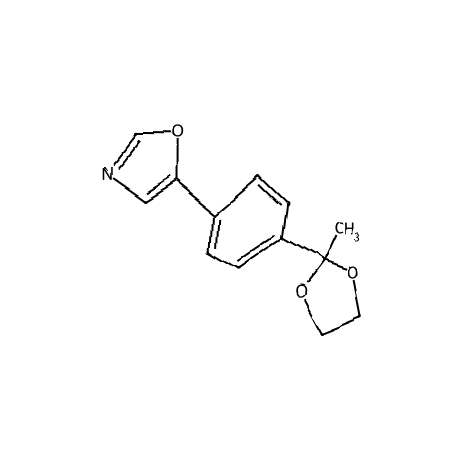 CC1(c2ccc(-c3cnco3)cc2)OCCO1